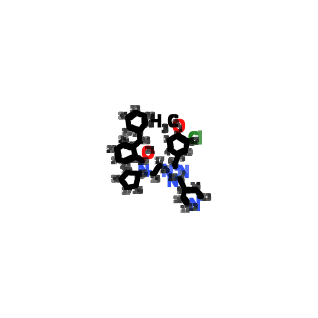 COc1ccc(-c2nc(-c3ccncc3)nn2CCN(C(=O)c2ccccc2Cc2ccccc2)C2CCCC2)cc1Cl